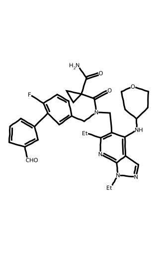 CCc1nc2c(cnn2CC)c(NC2CCOCC2)c1CN(Cc1ccc(F)c(-c2cccc(C=O)c2)c1)C(=O)C1(C(N)=O)CC1